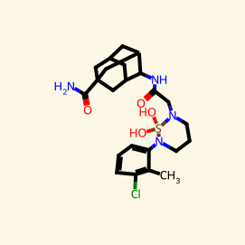 Cc1c(Cl)cccc1N1CCCN(CC(=O)NC2C3CC4CC2CC(C(N)=O)(C4)C3)S1(O)O